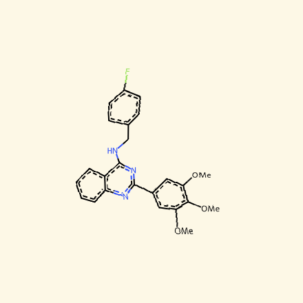 COc1cc(-c2nc(NCc3ccc(F)cc3)c3ccccc3n2)cc(OC)c1OC